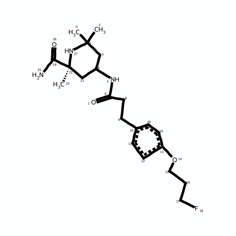 CC1(C)CC(NC(=O)[CH]Cc2ccc(OCCCF)cc2)C[C@@](C)(C(N)=O)N1